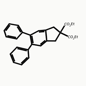 CCOC(=O)C1(C(=O)OCC)Cc2cc(-c3ccccc3)c(-c3ccccc3)cc2C1